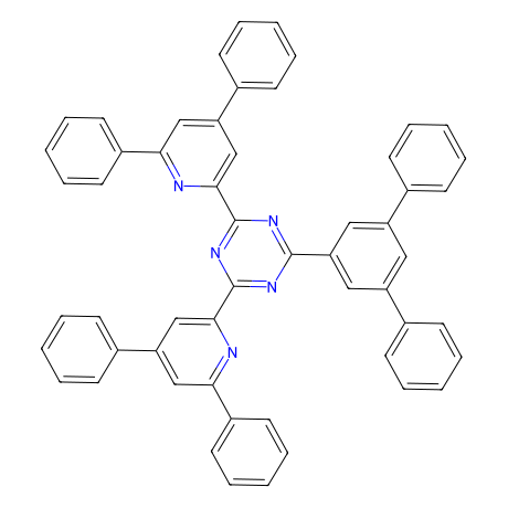 c1ccc(-c2cc(-c3ccccc3)cc(-c3nc(-c4cc(-c5ccccc5)cc(-c5ccccc5)n4)nc(-c4cc(-c5ccccc5)cc(-c5ccccc5)n4)n3)c2)cc1